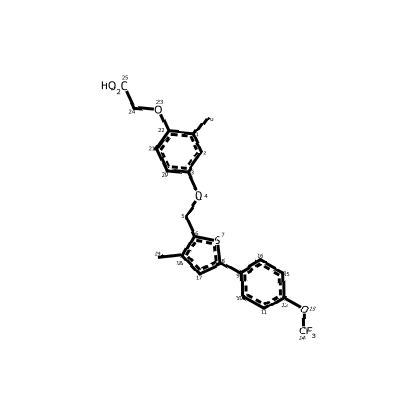 Cc1cc(OCc2sc(-c3ccc(OC(F)(F)F)cc3)cc2C)ccc1OCC(=O)O